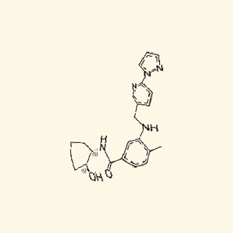 Cc1ccc(C(=O)N[C@H]2CCCC[C@@H]2O)cc1NCc1ccc(-n2cccn2)nc1